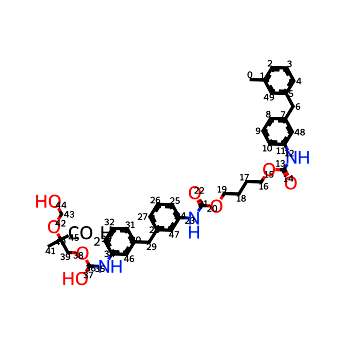 Cc1cccc(Cc2cccc(NC(=O)OCCCCOC(=O)Nc3cccc(Cc4cccc(NC(O)OCC(C)(OCO)C(=O)O)c4)c3)c2)c1